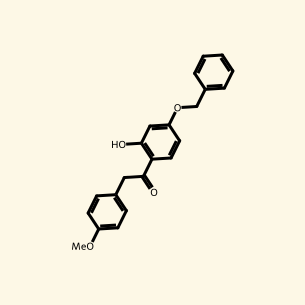 COc1ccc(CC(=O)c2ccc(OCc3ccccc3)cc2O)cc1